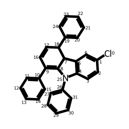 Clc1ccc2c(c1)C1C(=C(c3ccccc3)C=CC1c1ccccc1)N2c1ccccc1